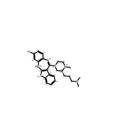 CN(C)CCC[C@H]1CN(C2=Nc3ccc(F)cc3Nc3sc4ccccc4c32)CCN1C